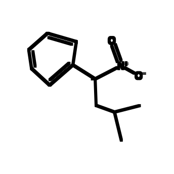 CC(C)C[C](c1ccccc1)[N+](=O)[O-]